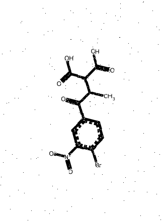 CC(C(=O)c1ccc(Br)c([N+](=O)[O-])c1)C(C(=O)O)C(=O)O